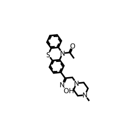 CC(=O)N1c2ccccc2Sc2ccc(/C(CN3CCN(C)CC3)=N/O)cc21